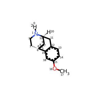 [2H]N1CC[C@@]23CCCCC2[C@@H]1Cc1ccc(OC)cc13